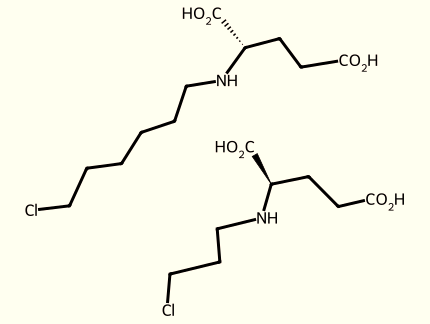 O=C(O)CC[C@@H](NCCCCl)C(=O)O.O=C(O)CC[C@H](NCCCCCCCl)C(=O)O